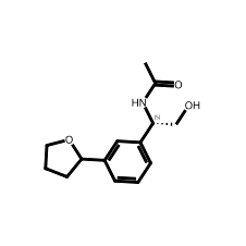 CC(=O)N[C@H](CO)c1cccc(C2CCCO2)c1